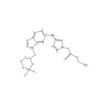 CCOC(=O)Cn1cc(Nc2ncc3ccn(CC4CCCC(F)(F)C4)c3n2)cn1